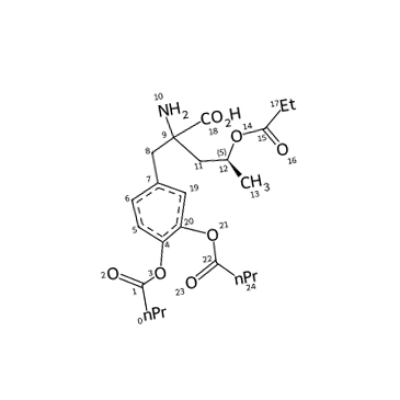 CCCC(=O)Oc1ccc(CC(N)(C[C@H](C)OC(=O)CC)C(=O)O)cc1OC(=O)CCC